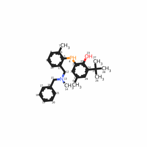 Cc1cc(Pc2c(C)cccc2CN(C)Cc2ccccc2)c(O)c(C(C)(C)C)c1